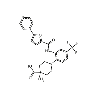 CC1(C(=O)O)CCN(c2ccc(C(F)(F)F)cc2NC(=O)c2ccc(-c3ccncc3)o2)CC1